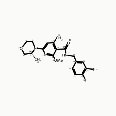 COc1nc(N2CCOC[C@H]2C)cc(C)c1C(=O)NCc1ccc(F)c(F)c1